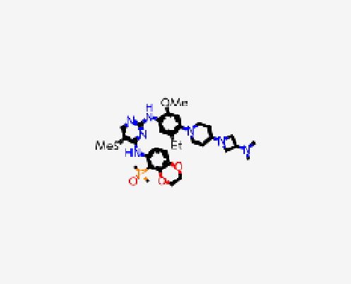 CCc1cc(Nc2ncc(SC)c(Nc3ccc4c(c3P(C)(C)=O)OCCO4)n2)c(OC)cc1N1CCC(N2CC(N(C)C)C2)CC1